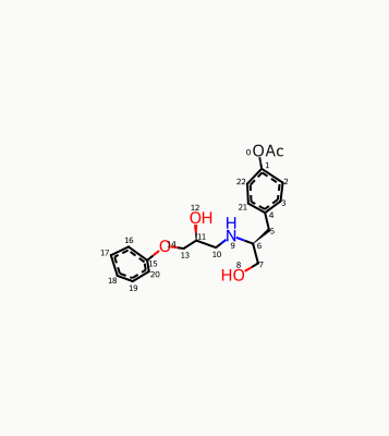 CC(=O)Oc1ccc(C[C@@H](CO)NC[C@H](O)COc2ccccc2)cc1